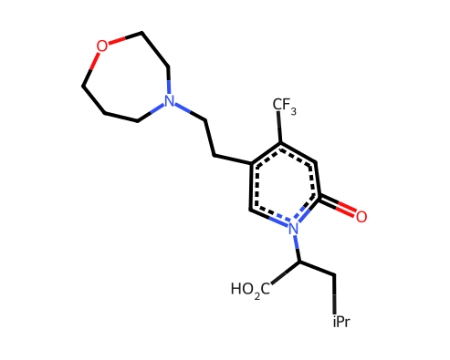 CC(C)CC(C(=O)O)n1cc(CCN2CCCOCC2)c(C(F)(F)F)cc1=O